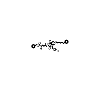 CCCN1C(=O)[C@@H](CCCCNC(=O)OCc2ccccc2)NC(=O)C12CCN(CCCCCCc1ccccc1)CC2